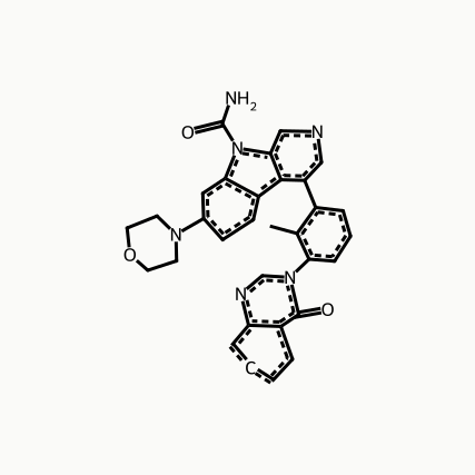 Cc1c(-c2cncc3c2c2ccc(N4CCOCC4)cc2n3C(N)=O)cccc1-n1cnc2ccccc2c1=O